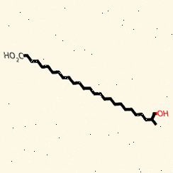 CC(CO)CCCCCCCCCCCCCCCCCCCCCCCCC(=O)O